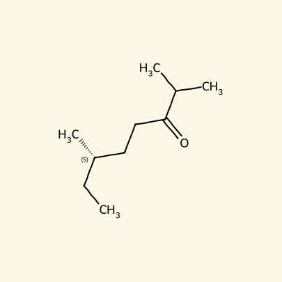 CC[C@H](C)CCC(=O)C(C)C